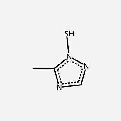 Cc1ncnn1S